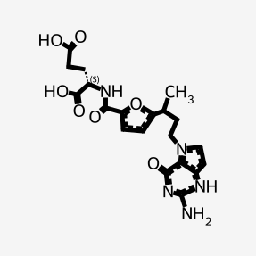 CC(CCn1ccc2[nH]c(N)nc(=O)c21)c1ccc(C(=O)N[C@@H](CCC(=O)O)C(=O)O)o1